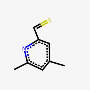 Cc1cc(C)nc(C=S)c1